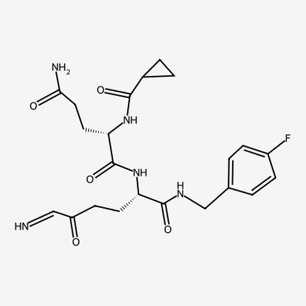 N=CC(=O)CC[C@H](NC(=O)[C@H](CCC(N)=O)NC(=O)C1CC1)C(=O)NCc1ccc(F)cc1